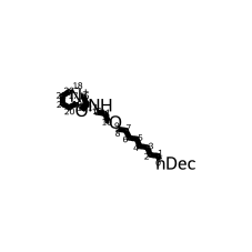 CCCCCCCCCCCCCCCCCCOCCCNC(=O)C[N+]1(C)CCCCC1